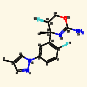 Cc1cnn(-c2ccc(F)c([C@@]3(C)N=C(N)OC[C@@H]3F)c2)c1